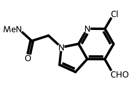 CNC(=O)Cn1ccc2c(C=O)cc(Cl)nc21